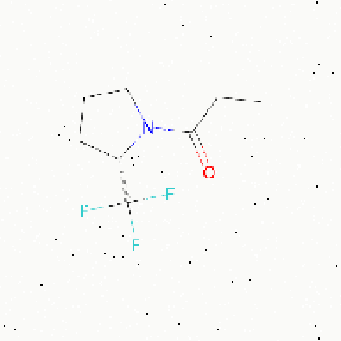 CCC(=O)N1CCC[C@H]1C(F)(F)F